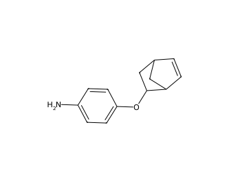 Nc1ccc(OC2CC3C=CC2C3)cc1